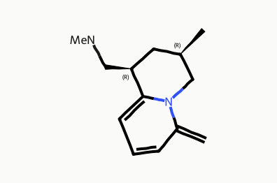 C=C1C=CC=C2[C@@H](CNC)C[C@@H](C)CN12